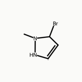 CN1N[C]=CC1Br